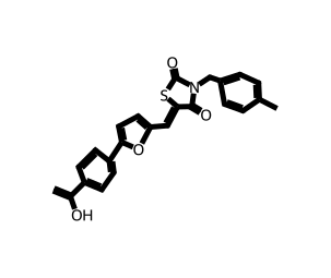 C=C(O)c1ccc(-c2ccc(/C=C3\SC(=O)N(Cc4ccc(C)cc4)C3=O)o2)cc1